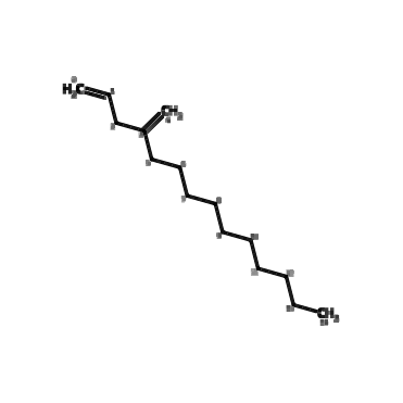 C=CCC(=C)CCCCCCCCCC